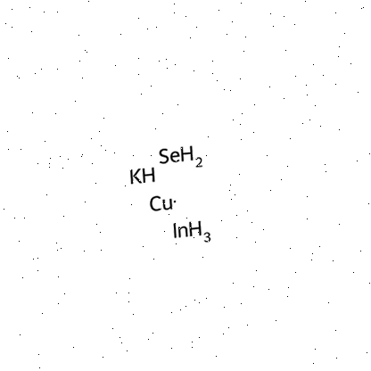 [Cu].[InH3].[KH].[SeH2]